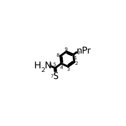 CCCc1ccc(C(N)=S)cc1